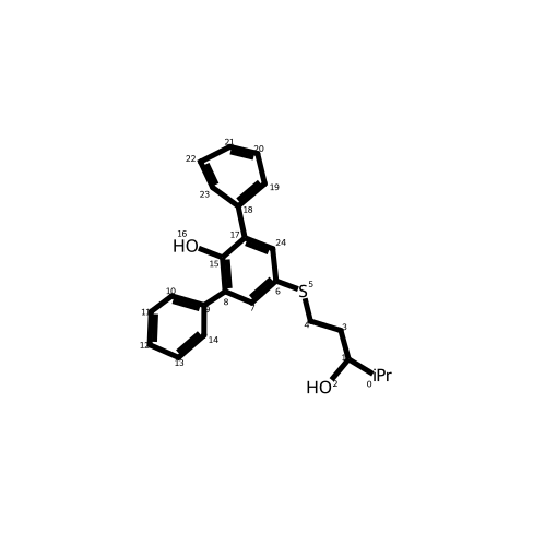 CC(C)C(O)CCSc1cc(-c2ccccc2)c(O)c(-c2ccccc2)c1